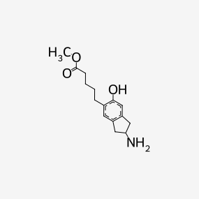 COC(=O)CCCCc1cc2c(cc1O)CC(N)C2